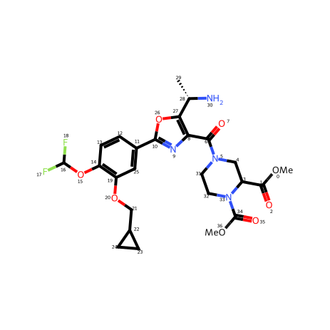 COC(=O)C1CN(C(=O)c2nc(-c3ccc(OC(F)F)c(OCC4CC4)c3)oc2[C@H](C)N)CCN1C(=O)OC